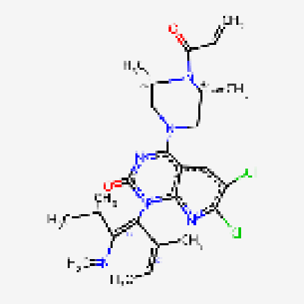 C=CC(=O)N1[C@H](C)CN(c2nc(=O)n(C(/C(C)=C\C)=C(/N=C)C(C)C)c3nc(Cl)c(Cl)cc23)C[C@@H]1C